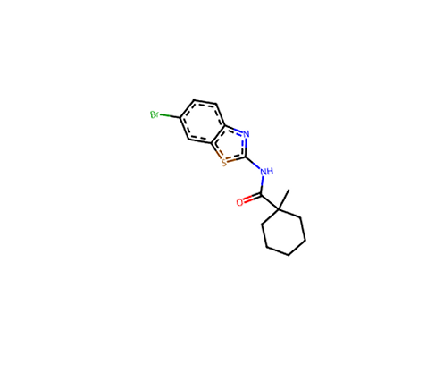 CC1(C(=O)Nc2nc3ccc(Br)cc3s2)CCCCC1